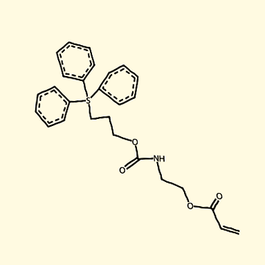 C=CC(=O)OCCNC(=O)OCCCS(c1ccccc1)(c1ccccc1)c1ccccc1